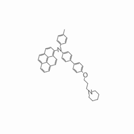 Cc1ccc(N(c2ccc(-c3ccc(OCCCN4CCCCC4)cc3)cc2)c2ccc3ccc4cccc5ccc2c3c45)cc1